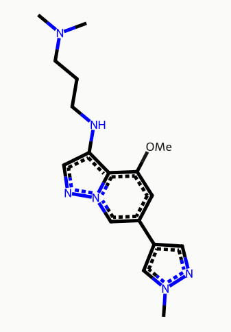 COc1cc(-c2cnn(C)c2)cn2ncc(NCCCN(C)C)c12